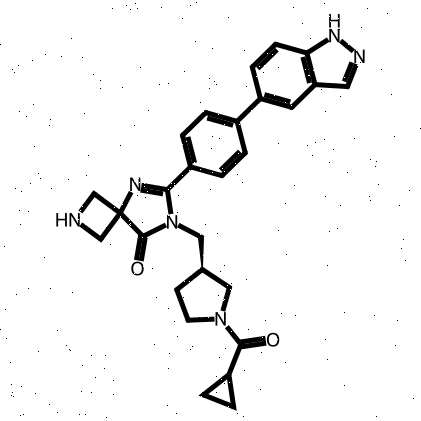 O=C(C1CC1)N1CC[C@@H](CN2C(=O)C3(CNC3)N=C2c2ccc(-c3ccc4[nH]ncc4c3)cc2)C1